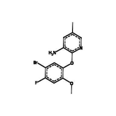 COc1cc(F)c(Br)cc1Oc1ncc(C)cc1N